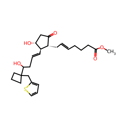 COC(=O)CCCC=CC[C@H]1C(=O)C[C@@H](O)[C@@H]1C=CCC(O)C1(Cc2cccs2)CCC1